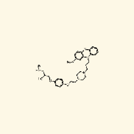 CSc1ccc2c(c1)N(CCCN1CCN(CCOc3ccc(OCC(O)CNC(C)C)cc3)CC1)c1ccccc1S2